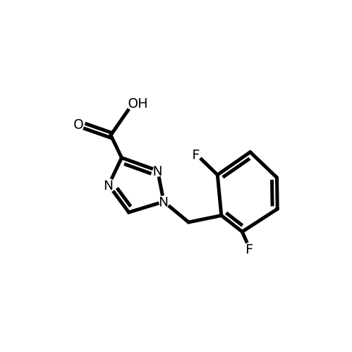 O=C(O)c1ncn(Cc2c(F)cccc2F)n1